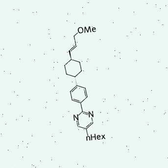 CCCCCCc1cnc(-c2ccc([C@H]3CC[C@H](/C=C/COC)CC3)cc2)nc1